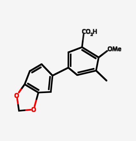 COc1c(C)cc(-c2ccc3c(c2)OCO3)cc1C(=O)O